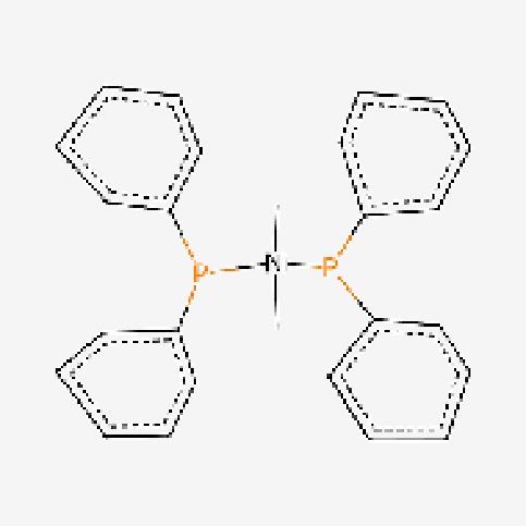 [CH3][Ni]([CH3])([P](c1ccccc1)c1ccccc1)[P](c1ccccc1)c1ccccc1